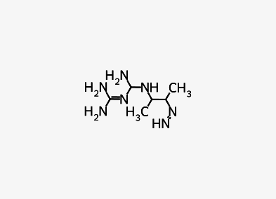 CC(N=N)C(C)NC(N)N=C(N)N